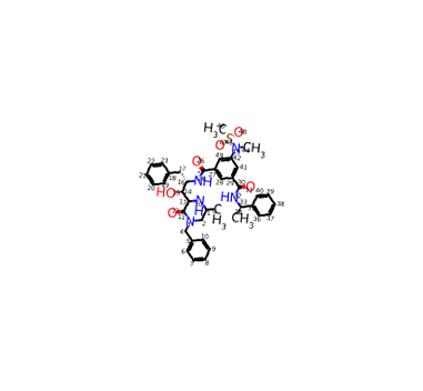 CC1CN(Cc2ccccc2)C(=O)C([C@@H](O)[C@H](Cc2ccccc2)NC(=O)c2cc(C(=O)N[C@H](C)c3ccccc3)cc(N(C)S(C)(=O)=O)c2)N1